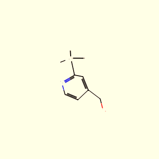 [CH3][Sn]([CH3])([CH3])[c]1cc(CO)ccn1